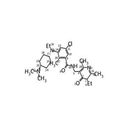 CCC1C(=O)C(CNC(=O)c2cc(Cl)cc(N(CC)[C@H]3CC[C@H](N(C)C)CC3)c2C)=C(C)N=C1C